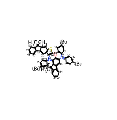 CC(C)(C)c1ccc(N2c3ccc(C(C)(C)C)cc3B3c4sc5cc6c(cc5c4N(c4ccc(C(C)(C)C)cc4)c4c3c2cc2c4C(C)(C)c3ccccc3-2)-c2ccccc2C6(C)C)cc1